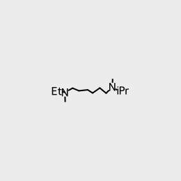 CCN(C)CCCCCCN(C)C(C)C